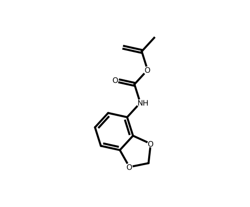 C=C(C)OC(=O)Nc1cccc2c1OCO2